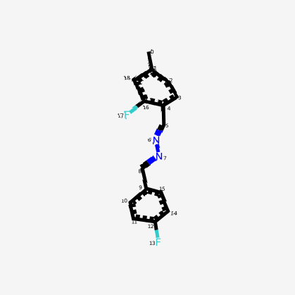 Cc1ccc(C=NN=Cc2ccc(F)cc2)c(F)c1